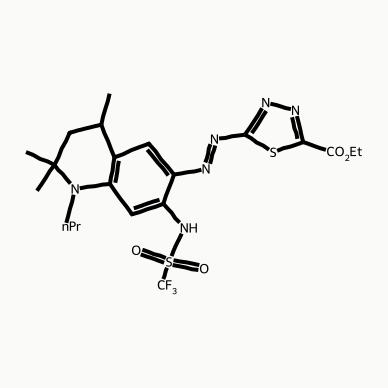 CCCN1c2cc(NS(=O)(=O)C(F)(F)F)c(N=Nc3nnc(C(=O)OCC)s3)cc2C(C)CC1(C)C